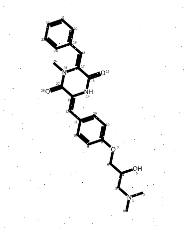 CN(C)CC(O)COc1ccc(C=c2[nH]c(=O)c(=Cc3ccccc3)n(C)c2=O)cc1